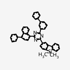 C[Si]1(C)c2ccccc2-c2cc(-c3nc(-c4cccc(-c5ccccc5)c4)nc(-c4ccc(-c5ccccc5)c5ccccc45)n3)ccc21